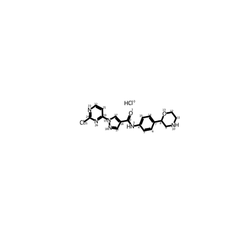 Cl.O=C(Nc1ccc(C2CNCCO2)cc1)c1cnn(-c2ccnc(Cl)n2)c1